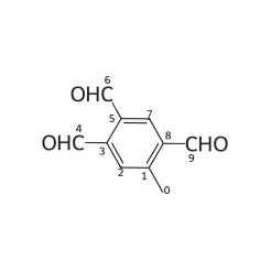 Cc1cc(C=O)c(C=O)cc1C=O